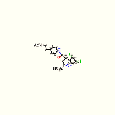 CC(=O)NCCc1ccc(NC(=O)/C=C2\CC(C(=O)O)Nc3cc(Cl)cc(Cl)c32)cc1